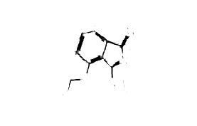 CCOc1cccc2c1C(N)=NC2=N